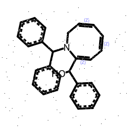 OC(/C1=C/C=C\C=C/CN1C(c1ccccc1)c1ccccc1)c1ccccc1